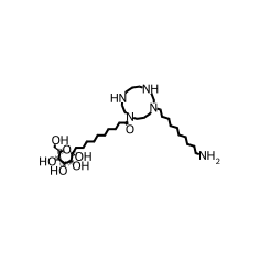 NCCCCCCCCCCN1CCCN(C(=O)CCCCCCCCC[C@]2(O)O[C@H](CO)[C@@H](O)[C@H](O)[C@H]2O)CCNCCCNCC1